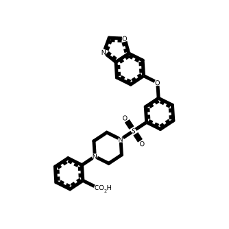 O=C(O)c1ccccc1N1CCN(S(=O)(=O)c2cccc(Oc3ccc4ncoc4c3)c2)CC1